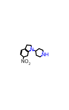 O=[N+]([O-])C1C=CC2=C(C1)N(C1CCNCC1)CC2